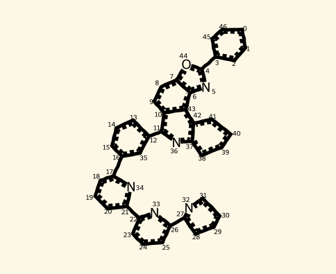 c1ccc(-c2nc3c(ccc4c(-c5cccc(-c6cccc(-c7cccc(-c8ccccn8)n7)n6)c5)nc5ccccc5c43)o2)cc1